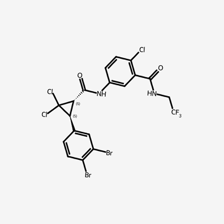 O=C(NCC(F)(F)F)c1cc(NC(=O)[C@@H]2[C@@H](c3ccc(Br)c(Br)c3)C2(Cl)Cl)ccc1Cl